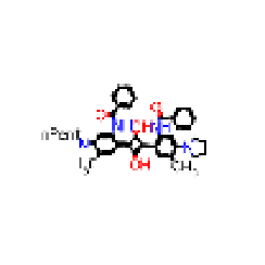 CCCCC/N=C1C=C(NC(=O)c2ccccc2)/C(=C2/C(O)=C(c3cc(C)c(N4CCCC4)cc3NC(=O)c3ccccc3)C2O)C=C\1C